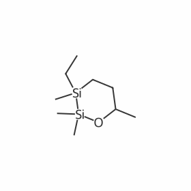 CC[Si]1(C)CCC(C)O[Si]1(C)C